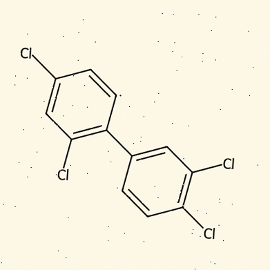 Clc1c[c]c(-c2ccc(Cl)c(Cl)c2)c(Cl)c1